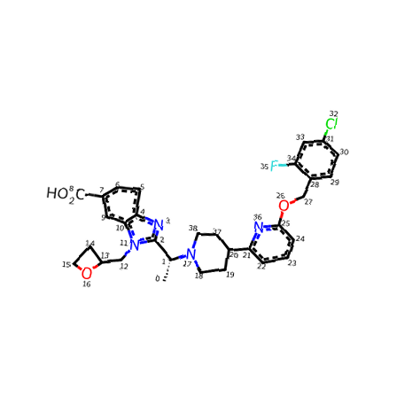 C[C@H](c1nc2ccc(C(=O)O)cc2n1CC1CCO1)N1CCC(c2cccc(OCc3ccc(Cl)cc3F)n2)CC1